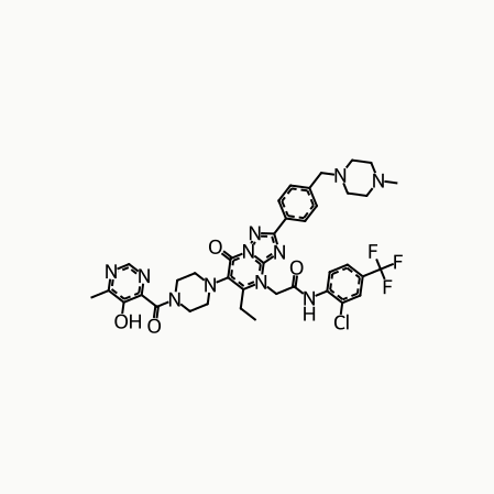 CCc1c(N2CCN(C(=O)c3ncnc(C)c3O)CC2)c(=O)n2nc(-c3ccc(CN4CCN(C)CC4)cc3)nc2n1CC(=O)Nc1ccc(C(F)(F)F)cc1Cl